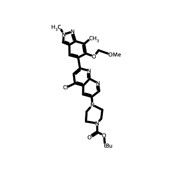 COCOc1c(-c2cc(Cl)c3cc(N4CCN(C(=O)OC(C)(C)C)CC4)cnc3n2)cc2cn(C)nc2c1C